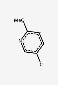 COc1[c]cc(Cl)cn1